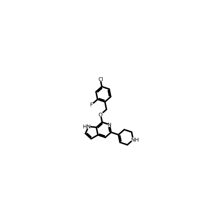 Fc1cc(Cl)ccc1COc1nc(C2=CCNCC2)cc2cc[nH]c12